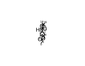 CCC(=O)ON1CCC(NC(=O)OC(C)(C)C)CC1